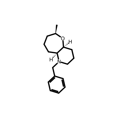 C[C@@H]1CCC[C@H]2[C@H](CCCN2Cc2ccccc2)O1